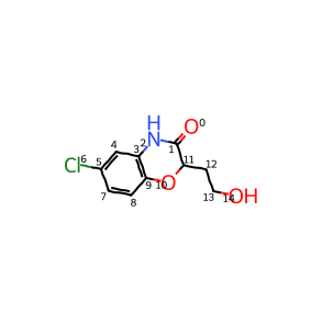 O=C1Nc2cc(Cl)ccc2OC1CCO